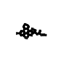 COC(=O)Oc1cnn2c(C3CCCCC3)c(-c3c(F)cc(F)cc3F)c(Cl)nc12